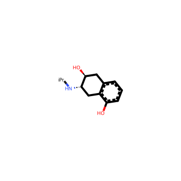 CC(C)N[C@H]1Cc2c(O)cccc2C[C@@H]1O